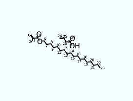 C=C(C)C(=O)OCCCCCCCCCCCCCCCCCC.C=CCC(=O)O